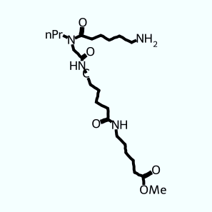 CCCN(CC(=O)NCCCCCC(=O)NCCCCCC(=O)OC)C(=O)CCCCCN